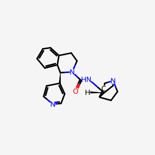 O=C(N[C@@H]1CN2CCC1CC2)N1CCc2ccccc2[C@@H]1c1ccncc1